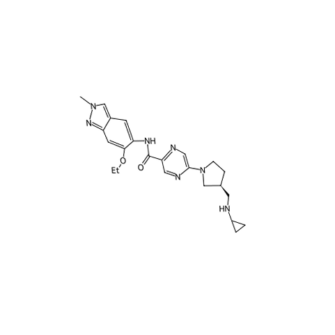 CCOc1cc2nn(C)cc2cc1NC(=O)c1cnc(N2CC[C@@H](CNC3CC3)C2)cn1